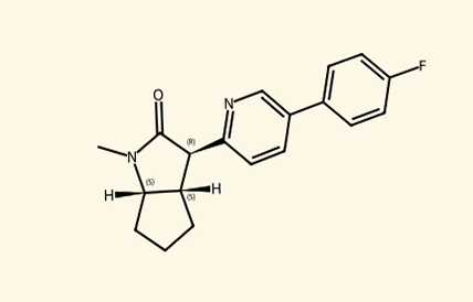 CN1C(=O)[C@@H](c2ccc(-c3ccc(F)cc3)cn2)[C@@H]2CCC[C@@H]21